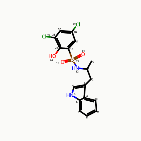 CC(Cc1c[nH]c2ccccc12)NS(=O)(=O)c1cc(Cl)cc(Cl)c1O